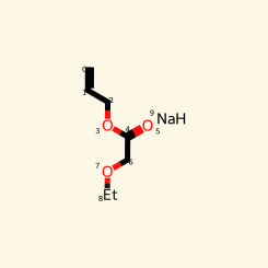 C=CCOC(=O)COCC.[NaH]